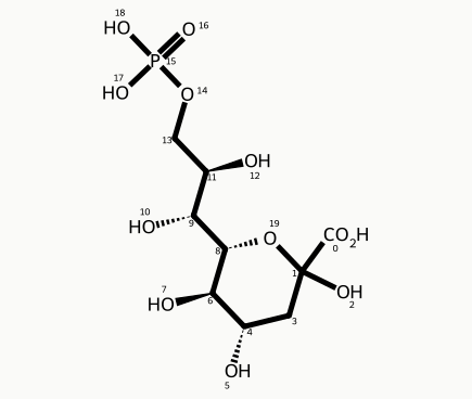 O=C(O)C1(O)C[C@H](O)[C@@H](O)[C@H]([C@H](O)[C@H](O)COP(=O)(O)O)O1